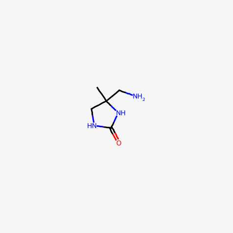 CC1(CN)CNC(=O)N1